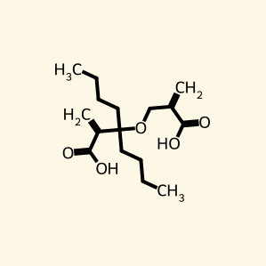 C=C(COC(CCCC)(CCCC)C(=C)C(=O)O)C(=O)O